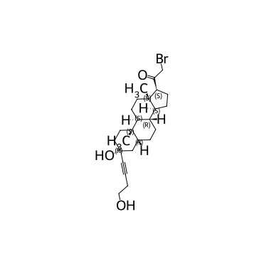 C[C@]12CC[C@](O)(C#CCCO)C[C@H]1CC[C@@H]1[C@@H]2CC[C@]2(C)[C@@H](C(=O)CBr)CC[C@@H]12